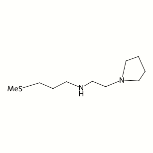 CSCCCNCCN1CCCC1